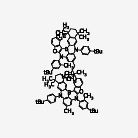 Cc1cc2c3c(c1)N(c1ccc(C(C)(C)C)cc1C)c1oc4ccc(C(C)(C)CCc5cc6c7c(c5)N(c5ccc(C(C)(C)C)cc5C)c5oc8ccc(C)cc8c5B7c5cc7c(cc5N6c5ccc(C(C)(C)C)cc5)C(C)(C)CCC7(C)C)cc4c1B3c1cc3c(cc1N2c1ccc(C(C)(C)C)cc1)C(C)(C)CCC3(C)C